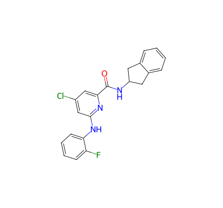 O=C(NC1Cc2ccccc2C1)c1cc(Cl)cc(Nc2ccccc2F)n1